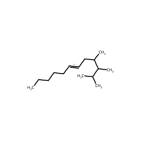 CCCCC/C=C/CC(C)C(C)C(C)C